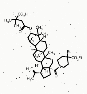 C=C(C)[C@@H]1CC[C@]2(C(=O)N3CCC(CC)(C(=O)OCC)CC3)CC[C@]3(C)[C@H](CC[C@@H]4[C@@]5(C)CC[C@H](OC(=O)CC(C)(C)C(=O)O)C(C)(C)[C@@H]5CC[C@]43C)[C@@H]12